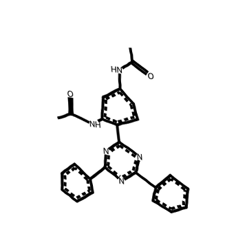 CC(=O)Nc1ccc(-c2nc(-c3ccccc3)nc(-c3ccccc3)n2)c(NC(C)=O)c1